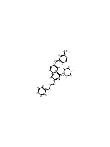 Cc1cccc(Oc2ccc3nc(OCCc4ccccc4)nc(N4CCSCC4)c3c2)c1